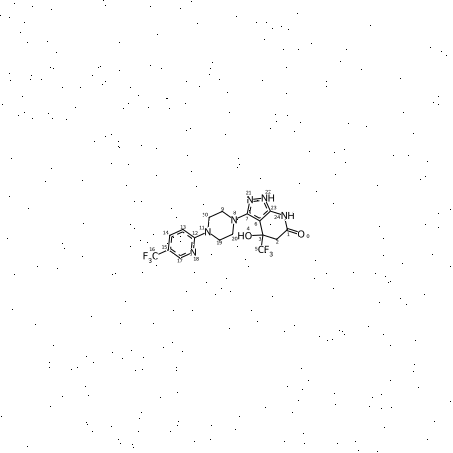 O=C1CC(O)(C(F)(F)F)c2c(N3CCN(c4ccc(C(F)(F)F)cn4)CC3)n[nH]c2N1